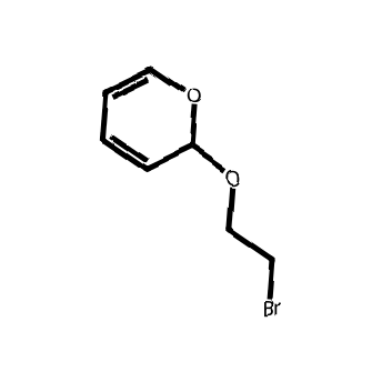 BrCCOC1C=CC=CO1